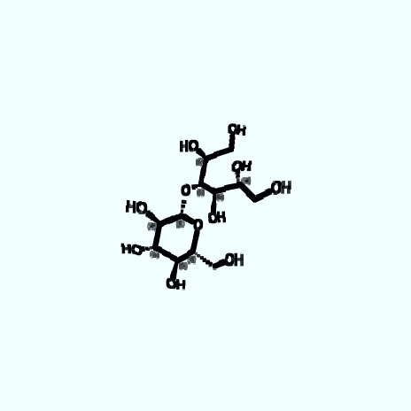 OC[C@@H](O)[C@@H](O)[C@H](O[C@@H]1O[C@H](CO)[C@@H](O)[C@H](O)[C@H]1O)[C@@H](O)CO